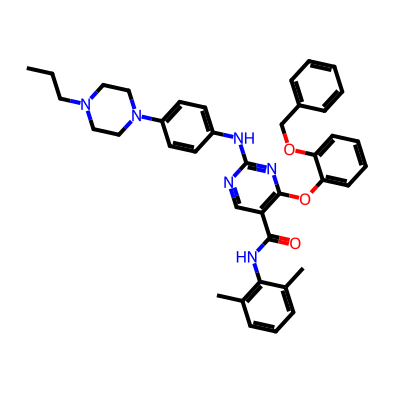 CCCN1CCN(c2ccc(Nc3ncc(C(=O)Nc4c(C)cccc4C)c(Oc4ccccc4OCc4ccccc4)n3)cc2)CC1